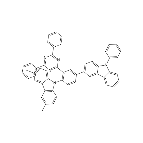 Cc1ccc2c(c1)c1cc(C)ccc1n2-c1ccc(-c2ccc3c(c2)c2ccccc2n3-c2ccccc2)cc1-c1nc(-c2ccccc2)nc(-c2ccccc2)n1